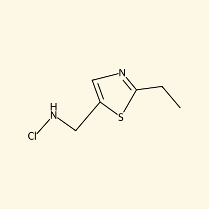 CCc1ncc(CNCl)s1